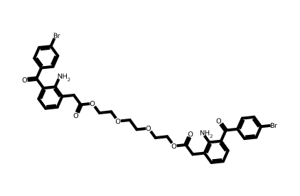 Nc1c(CC(=O)OCCOCCOCCOC(=O)Cc2cccc(C(=O)c3ccc(Br)cc3)c2N)cccc1C(=O)c1ccc(Br)cc1